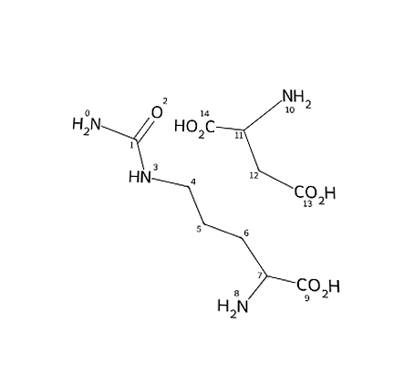 NC(=O)NCCCC(N)C(=O)O.NC(CC(=O)O)C(=O)O